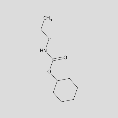 CC[CH]NC(=O)OC1CCCCC1